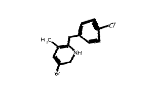 CC1=C(Cc2ccc(Cl)cc2)NCC(Br)=C1